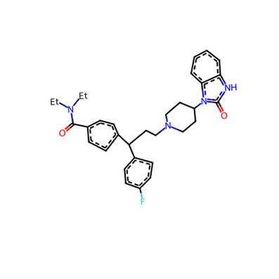 CCN(CC)C(=O)c1ccc(C(CCN2CCC(n3c(=O)[nH]c4ccccc43)CC2)c2ccc(F)cc2)cc1